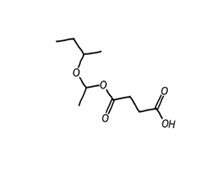 CCC(C)OC(C)OC(=O)CCC(=O)O